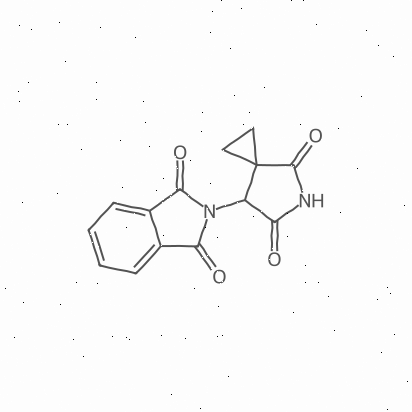 O=C1NC(=O)C2(CC2)C1N1C(=O)c2ccccc2C1=O